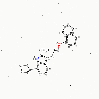 O=C(O)c1[nH]c2c(C3=CCCC3)cccc2c1CCCOc1cccc2ccccc12